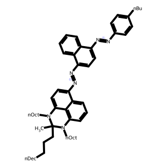 CCCCCCCCCCCCCC1(C)N(CCCCCCCC)c2cccc3c(/N=N/c4ccc(/N=N/c5ccc(CCCC)cc5)c5ccccc45)ccc(c23)N1CCCCCCCC